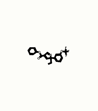 CCC1(c2cccc(OC(F)(F)F)c2)C=C(C(=O)Oc2ccccc2)C=N1